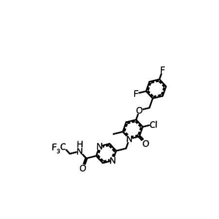 Cc1cc(OCc2ccc(F)cc2F)c(Cl)c(=O)n1Cc1cnc(C(=O)NCC(F)(F)F)cn1